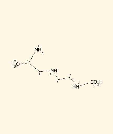 C[C@H](N)CNCCNC(=O)O